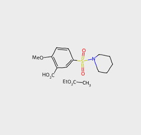 CCOC(C)=O.COc1ccc(S(=O)(=O)N2CCCCC2)cc1C(=O)O